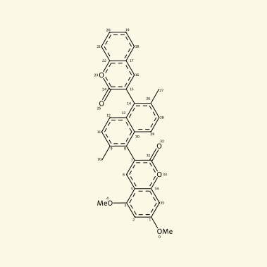 COc1cc(OC)c2cc(-c3c(C)ccc4c(-c5cc6ccccc6oc5=O)c(C)ccc34)c(=O)oc2c1